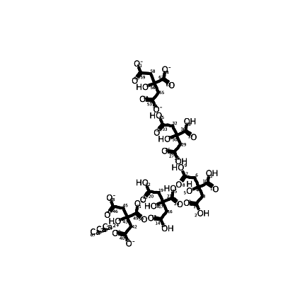 O=C(O)CC(O)(CC(=O)O)C(=O)O.O=C(O)CC(O)(CC(=O)O)C(=O)O.O=C(O)CC(O)(CC(=O)O)C(=O)O.O=C([O-])CC(O)(CC(=O)[O-])C(=O)[O-].O=C([O-])CC(O)(CC(=O)[O-])C(=O)[O-].[Ca+2].[Ca+2].[Ca+2]